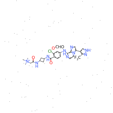 C[N+](C)(C)CC(=O)NC1CC(NC(=O)c2ccc(Nc3nccn4c(-c5c[nH]nc5C(F)(F)F)cnc34)cc2Cl)C1.O=C[O-]